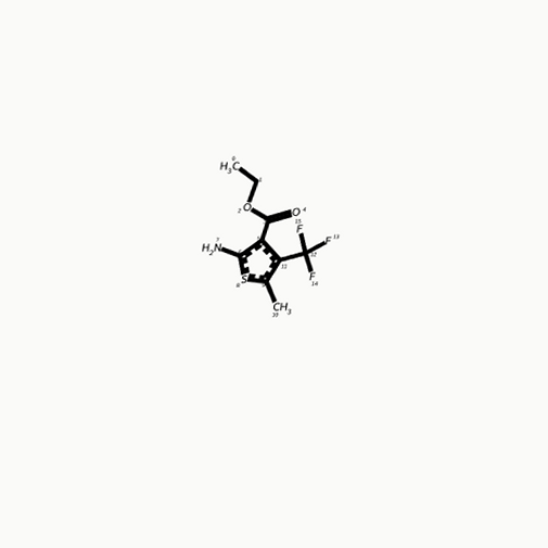 CCOC(=O)c1c(N)sc(C)c1C(F)(F)F